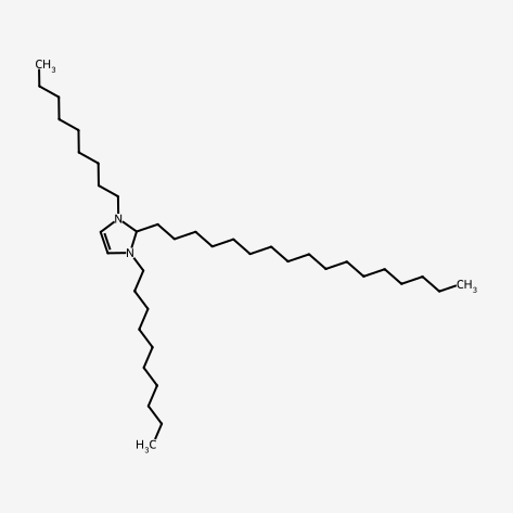 CCCCCCCCCCCCCCCCCC1N(CCCCCCCCC)C=CN1CCCCCCCCCC